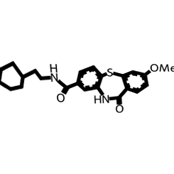 COc1ccc2c(c1)Sc1ccc(C(=O)NCCC3CCCCC3)cc1NC2=O